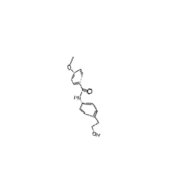 COc1ccc(C(=O)Nc2ccc(CCO)cc2)cc1